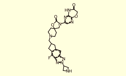 O=C1COc2ncc(N3CC4(CCN(CC5Cc6cc7nn(C8CNC8)nc7c(F)c6C5)CC4)OC3=O)nc2N1